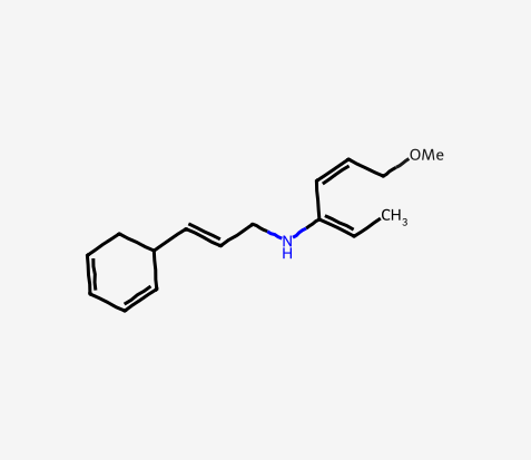 C/C=C(\C=C/COC)NC/C=C/C1C=CC=CC1